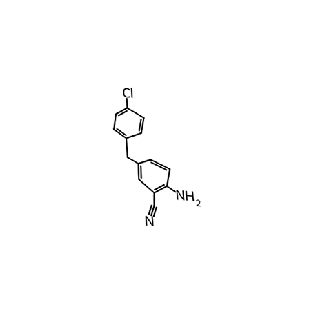 N#Cc1cc(Cc2ccc(Cl)cc2)ccc1N